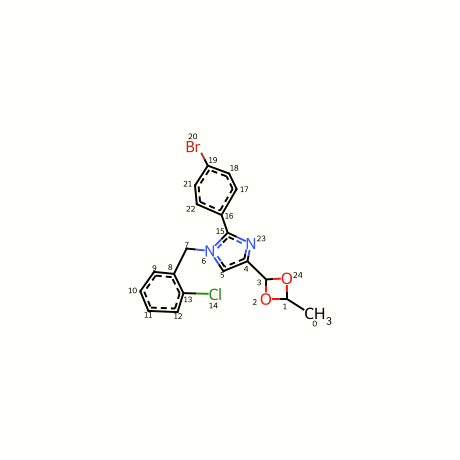 CC1OC(c2cn(Cc3ccccc3Cl)c(-c3ccc(Br)cc3)n2)O1